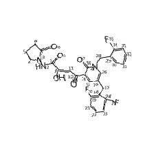 O=C(NN1CCCC1=O)C(O)=CC(=O)c1cc(Cc2c(F)cccc2F)cn(Cc2ccccc2F)c1=O